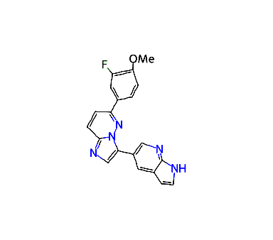 COc1ccc(-c2ccc3ncc(-c4cnc5[nH]ccc5c4)n3n2)cc1F